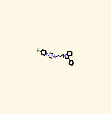 Fc1ccc(N2CCN(CCCCn3cc(-c4ccccc4)c4ccccc43)CC2)cc1